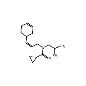 C=C(C1CC1)N(C/C=C\C1CC=CCC1)CC(C)C